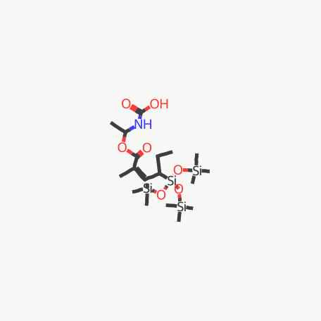 CCC(C=C(C)C(=O)OC(C)NC(=O)O)[Si](O[Si](C)(C)C)(O[Si](C)(C)C)O[Si](C)(C)C